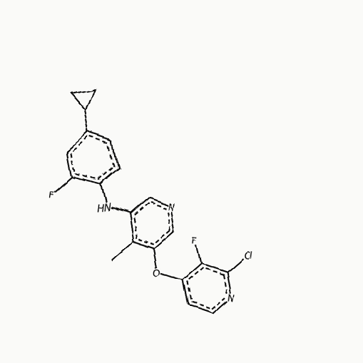 Cc1c(Nc2ccc(C3CC3)cc2F)cncc1Oc1ccnc(Cl)c1F